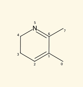 CC1=CCCN=C1C